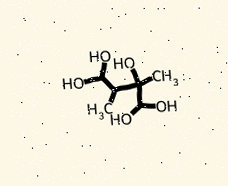 CC(C(O)O)C(C)(O)C(O)O